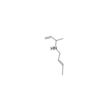 C=CC(C)NCC=CC